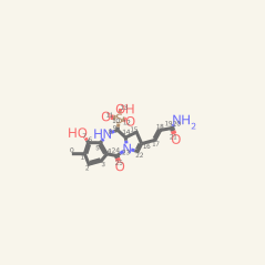 Cc1ccc2c(c1O)NC(S(=O)(=O)O)C1CC(/C=C/C(N)=O)=CN1C2=O